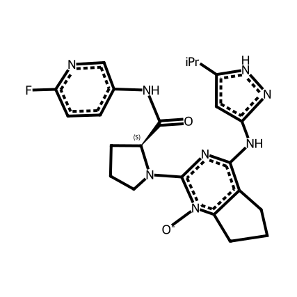 CC(C)c1cc(Nc2nc(N3CCC[C@H]3C(=O)Nc3ccc(F)nc3)[n+]([O-])c3c2CCC3)n[nH]1